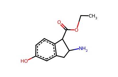 CCOC(=O)C1c2ccc(O)cc2CC1N